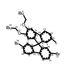 CCC(C)COc1ccc(C2(c3cc(C)ccc3C)c3cc(Br)ccc3-c3ccc(Br)cc32)cc1OCC(C)CC